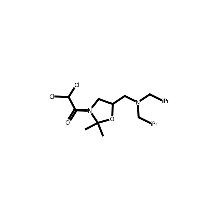 CC(C)CN(CC(C)C)CC1CN(C(=O)C(Cl)Cl)C(C)(C)O1